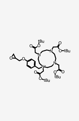 CC(C)(C)OC(=O)CN1CCN(CC(=O)OC(C)(C)C)CC[N+](CC(=O)OC(C)(C)C)(Cc2ccc(OCC3CO3)cc2)CCN(CC(=O)OC(C)(C)C)CC1